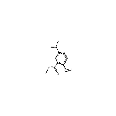 CCC(=O)c1cc(C(C)C)ccc1O